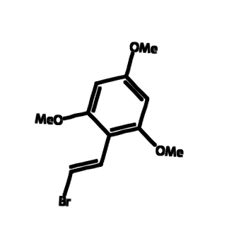 COc1cc(OC)c(C=CBr)c(OC)c1